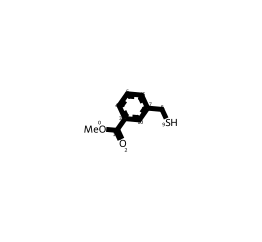 COC(=O)c1cccc(CS)c1